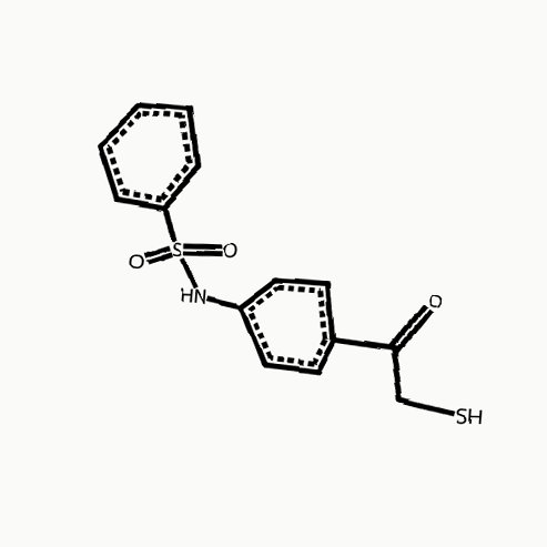 O=C(CS)c1ccc(NS(=O)(=O)c2ccccc2)cc1